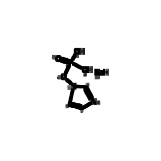 O=P(O)(O)On1ccnc1.[NaH]